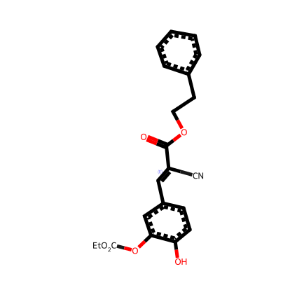 CCOC(=O)Oc1cc(/C=C(\C#N)C(=O)OCCc2ccccc2)ccc1O